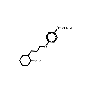 CCCCCCCOc1ccc(OCCCC2CCCCC2CCC)cc1